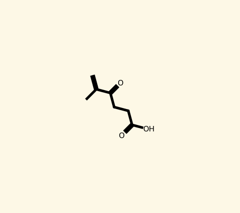 C=C(C)C(=O)CCC(=O)O